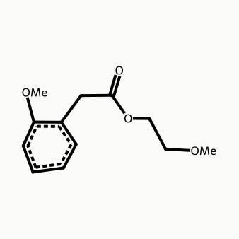 COCCOC(=O)Cc1ccccc1OC